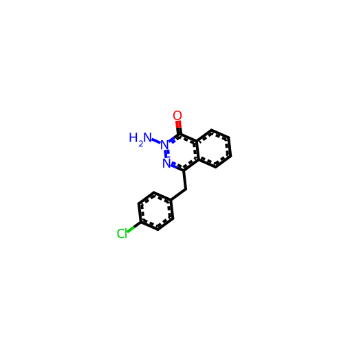 Nn1nc(Cc2ccc(Cl)cc2)c2ccccc2c1=O